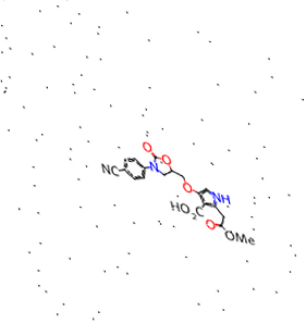 COC(=O)Cc1[nH]cc(OCC2CN(c3ccc(C#N)cc3)C(=O)O2)c1C(=O)O